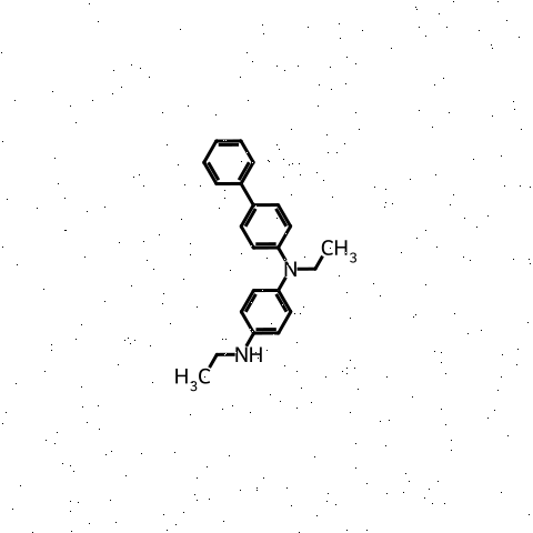 CCNc1ccc(N(CC)c2ccc(-c3ccccc3)cc2)cc1